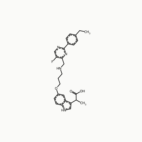 CCc1ccc(-c2ncc(F)c(CNCCCOc3ccc4[nH]cc(C(C)C(=O)O)c4c3)n2)cc1